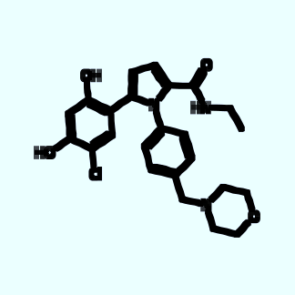 CCNC(=O)c1ccc(-c2cc(Cl)c(O)cc2O)n1-c1ccc(CN2CCOCC2)cc1